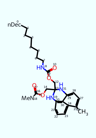 CCCCCCCCCCCCCCCCCNC(=O)OCC1(COC(=O)NC)Nc2cccc3c(C)ccc(c23)N1